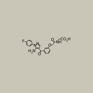 Nc1c(C(=O)c2cccc(OCC(=O)NCC(=O)O)c2)cnn1-c1ccc(F)cc1